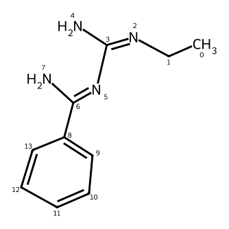 CC/N=C(N)\N=C(/N)c1ccccc1